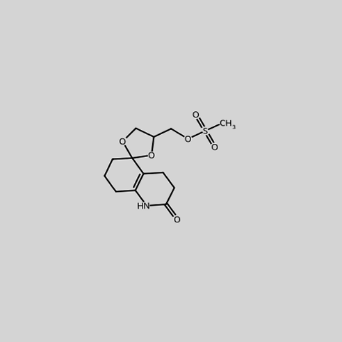 CS(=O)(=O)OCC1COC2(CCCC3=C2CCC(=O)N3)O1